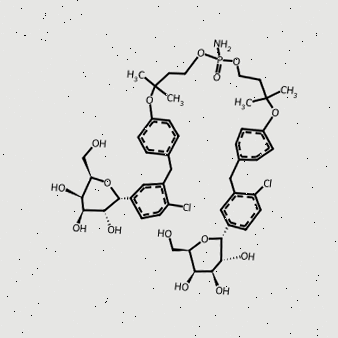 CC(C)(CCOP(N)(=O)OCCC(C)(C)Oc1ccc(Cc2cc([C@H]3O[C@H](CO)[C@H](O)[C@H](O)[C@H]3O)ccc2Cl)cc1)Oc1ccc(Cc2cc([C@H]3O[C@H](CO)[C@H](O)[C@H](O)[C@H]3O)ccc2Cl)cc1